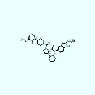 CCOC(=O)c1cc2cc(NC(=O)[C@@H]3[C@H](N4CCCCC4)CCN3C(=O)[C@H]3CC[C@H]([C@@H](CF)NC(=O)OC(C)(C)C)CC3)ccc2[nH]1